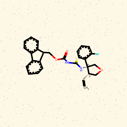 C=C[C@H]1COC[C@]1(NC(=S)NC(=O)OCC1c2ccccc2-c2ccccc21)c1ccccc1F